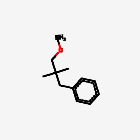 CC(C)(CO[SiH3])Cc1ccccc1